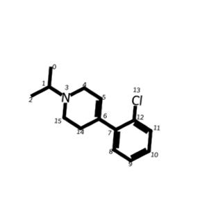 CC(C)N1CC=C(c2ccccc2Cl)CC1